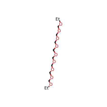 CCOCOCOCOCOCOCOCOCOCC